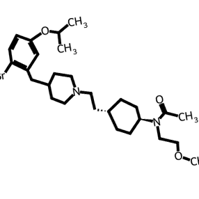 COCCN(C(C)=O)[C@H]1CC[C@H](CCN2CCC(Cc3cc(OC(C)C)ccc3Br)CC2)CC1